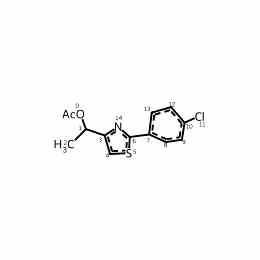 CC(=O)OC(C)c1csc(-c2ccc(Cl)cc2)n1